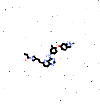 C=CC(=O)N1CC(C=Cc2ccc3ncnc(Nc4ccc(Oc5ccc6cn(C)nc6c5)c(C)c4)c3n2)C1